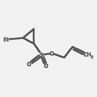 C=CCOS(=O)(=O)C1CC1CC